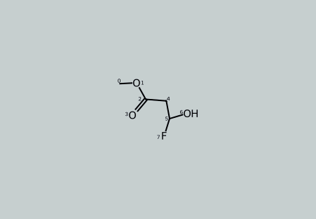 COC(=O)CC(O)F